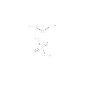 CCO.O=S(O)(O)=S